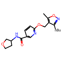 CCCCc1noc(C)c1COc1ccc(C(=O)NC2CCOC2)cn1